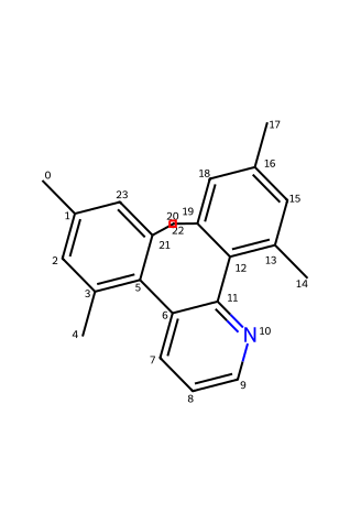 Cc1cc(C)c(-c2cccnc2-c2c(C)cc(C)cc2C)c(C)c1